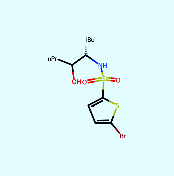 CCCC(O)C(NS(=O)(=O)c1ccc(Br)s1)[C@@H](C)CC